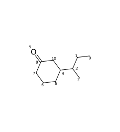 CCC(C)C1CCCC(=O)C1